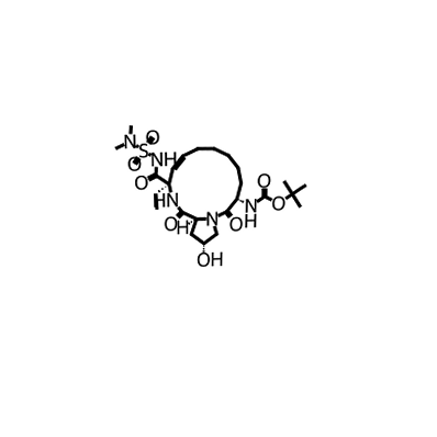 CC[C@]1(C(=O)NS(=O)(=O)N(C)C)/C=C\CCCCC[C@H](NC(=O)OC(C)(C)C)C(=O)N2C[C@H](O)C[C@H]2C(=O)N1